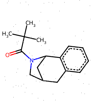 CC(C)(C)C(=O)N1CC2Cc3ccccc3C1C2